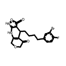 O=C1COCC2=C1C(CCCCc1ccc(F)c(Br)c1)c1c([nH]oc1=O)N2